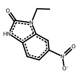 CCn1c(=O)[nH]c2ccc([N+](=O)[O-])cc21